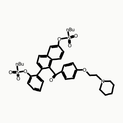 CCCCS(=O)(=O)Oc1ccc2c(C(=O)c3ccc(OCCN4CCCCC4)cc3)c(-c3ccccc3OS(=O)(=O)CCCC)ccc2c1